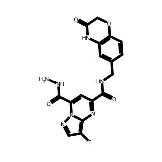 NNC(=O)c1cc(C(=O)NCc2ccc3c(c2)NC(=O)CO3)nc2c(F)cnn12